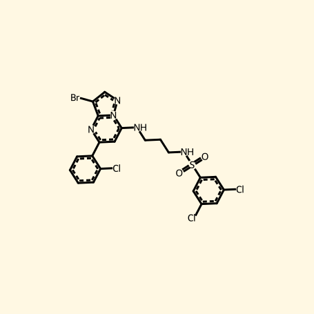 O=S(=O)(NCCCNc1cc(-c2ccccc2Cl)nc2c(Br)cnn12)c1cc(Cl)cc(Cl)c1